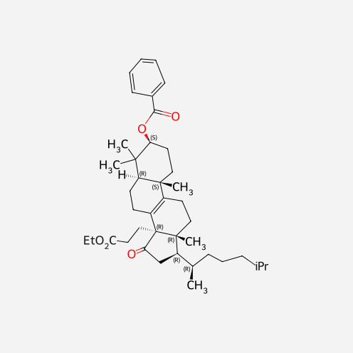 CCOC(=O)CC[C@@]12C(=O)C[C@H]([C@H](C)CCCC(C)C)[C@@]1(C)CCC1=C2CC[C@H]2C(C)(C)[C@@H](OC(=O)c3ccccc3)CC[C@]12C